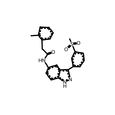 Cc1ccccc1CC(=O)Nc1ccc2[nH]nc(-c3cccc(S(C)(=O)=O)c3)c2c1